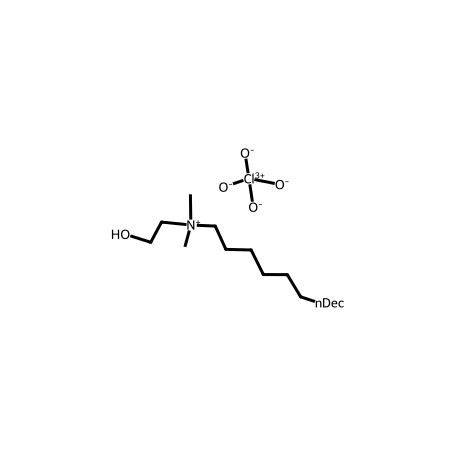 CCCCCCCCCCCCCCCC[N+](C)(C)CCO.[O-][Cl+3]([O-])([O-])[O-]